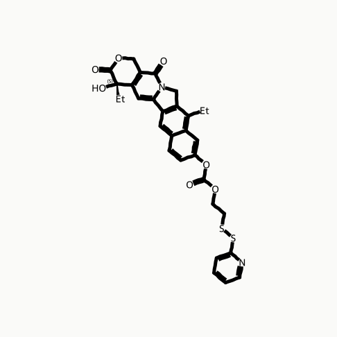 CCc1c2c(cc3ccc(OC(=O)OCCSSc4ccccn4)cc13)-c1cc3c(c(=O)n1C2)COC(=O)[C@]3(O)CC